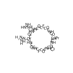 CC(C)C[C@@H]1NCN[C@@H](Cc2ccccc2)C(=O)CNCC(=O)CC(F)CNCC(=O)CN[C@@H](CCCNC(=N)N)C(=O)CC(=O)[C@H](CCCNC(=N)N)NCNCC(=O)CC(F)CC(=O)CNCC1=O